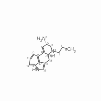 CCCN1C[C@@H](N)C=C2c3cccc4[nH]cc(c34)C[C@H]21